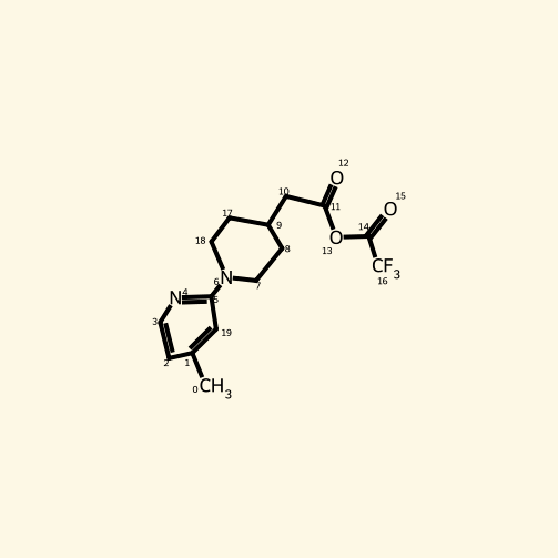 Cc1ccnc(N2CCC(CC(=O)OC(=O)C(F)(F)F)CC2)c1